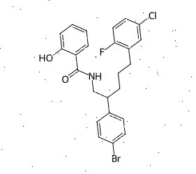 O=C(NCC(CCCc1cc(Cl)ccc1F)c1ccc(Br)cc1)c1ccccc1O